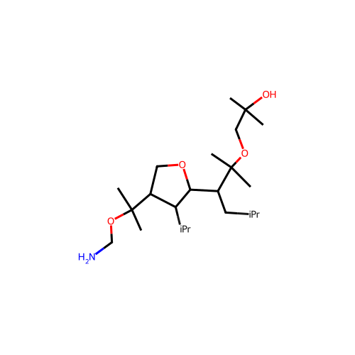 CC(C)CC(C1OCC(C(C)(C)OCN)C1C(C)C)C(C)(C)OCC(C)(C)O